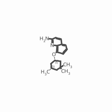 C[C@@H]1C[C@H](Oc2cccc3ccc(N)nc23)CC(C)(C)C1